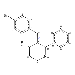 Fc1cc(Br)ccc1/C=C1\CCCN=C1c1cccnc1